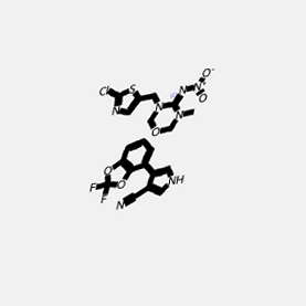 CN1COCN(Cc2cnc(Cl)s2)/C1=N/[N+](=O)[O-].N#Cc1c[nH]cc1-c1cccc2c1OC(F)(F)O2